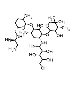 C[C@@H]1C(O)[C@@H](OC2C(O)C(O[C@H]3O[C@H](CNC(=N)CN)CCC3N)[C@@H](N)C[C@H]2NC(=N)C(O)C(O)C(O)CO)OCC1(C)O